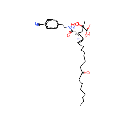 CCCCCCCC(=O)CCCCCC/C=C/[C@H](C(=O)NCCc1ccc(C#N)cc1)[C@](C)(O)C(=O)O